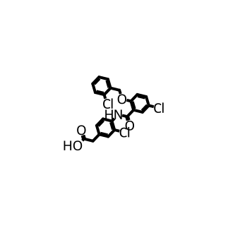 O=C(O)Cc1ccc(NC(=O)c2cc(Cl)ccc2OCc2ccccc2Cl)c(Cl)c1